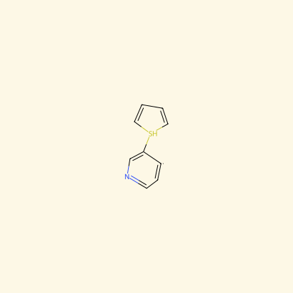 [c]1ccncc1[SH]1C=CC=C1